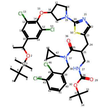 CC(O[Si](C)(C)C(C)(C)C)c1cc(Cl)c(OC2CCN(c3ncc(CC(CNC(=O)OC(C)(C)C)C(=O)N(Cc4cccc(Cl)c4Cl)C4CC4)s3)C2)c(Cl)c1